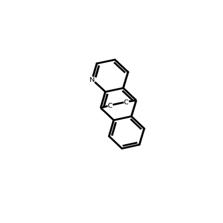 c1ccc2c3c4ncccc4c(c2c1)CC3